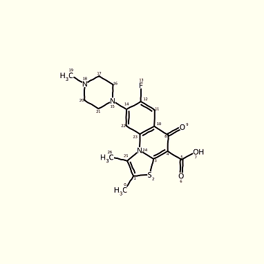 Cc1sc2c(C(=O)O)c(=O)c3cc(F)c(N4CCN(C)CC4)cc3n2c1C